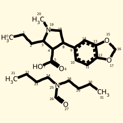 CCCC1C(C(=O)O)C(c2ccc3c(c2)OCO3)CN1C.CCCCN(C=O)CCCC